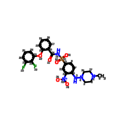 CN1CCN(Nc2ccc(S(=O)(=O)NC(=O)c3ccccc3Oc3cccc(F)c3F)cc2[N+](=O)[O-])CC1